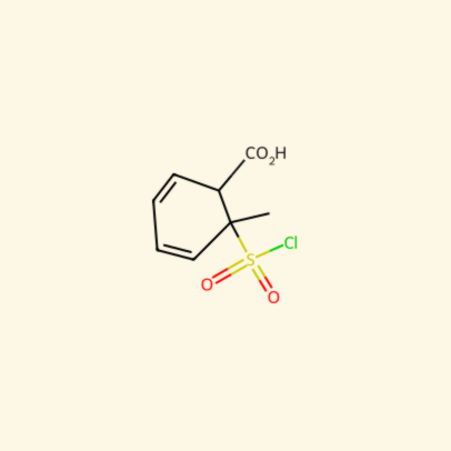 CC1(S(=O)(=O)Cl)C=CC=CC1C(=O)O